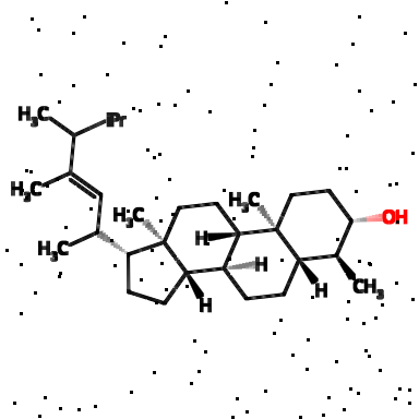 C/C(=C\C(C)[C@H]1CC[C@H]2[C@@H]3CC[C@H]4[C@H](C)[C@@H](O)CC[C@]4(C)[C@H]3CC[C@]12C)C(C)C(C)C